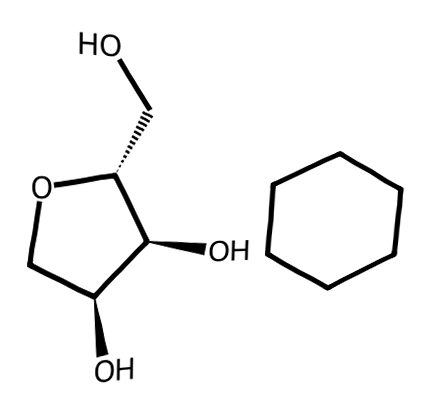 C1CCCCC1.OC[C@H]1OC[C@H](O)[C@@H]1O